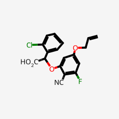 C=CCOc1cc(F)c(C#N)c(OC(C(=O)O)c2ccccc2Cl)c1